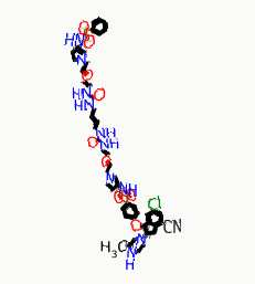 C[C@H]1CN([C@H]2Cc3c(C#N)cc(Cl)cc3[C@@H]2Oc2ccc(S(=O)(=O)N[C@H]3CCN(CCOCCNC(=O)NCCCCNC(=O)NCCOCCN4CC[C@H](NS(=O)(=O)c5ccccc5)C4)C3)cc2)CCN1